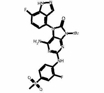 CC(C)(C)n1c(=O)n(-c2ccc(F)c3[nH]ncc23)c2c(N)nc(Nc3ccc(S(C)(=O)=O)cc3F)nc21